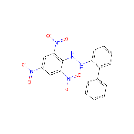 O=[N+]([O-])c1cc([N+](=O)[O-])c(NNc2ccccc2-c2ccccc2)c([N+](=O)[O-])c1